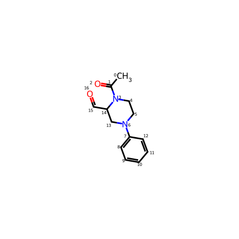 CC(=O)N1CCN(c2ccccc2)CC1C=O